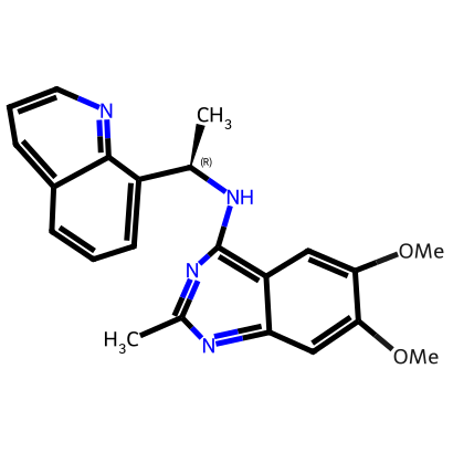 COc1cc2nc(C)nc(N[C@H](C)c3cccc4cccnc34)c2cc1OC